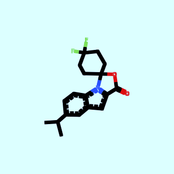 CC(C)c1ccc2c(c1)cc1n2C2(CCC(F)(F)CC2)OC1=O